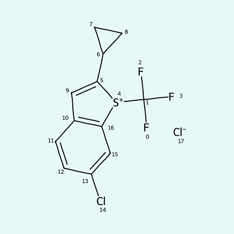 FC(F)(F)[s+]1c(C2CC2)cc2ccc(Cl)cc21.[Cl-]